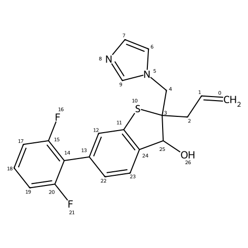 C=CCC1(Cn2ccnc2)Sc2cc(-c3c(F)cccc3F)ccc2C1O